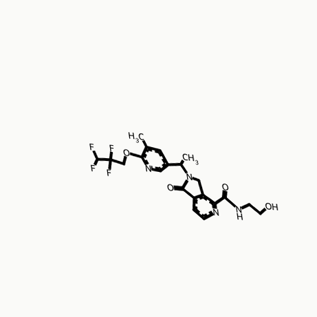 Cc1cc(C(C)N2Cc3c(ccnc3C(=O)NCCO)C2=O)cnc1OCC(F)(F)C(F)F